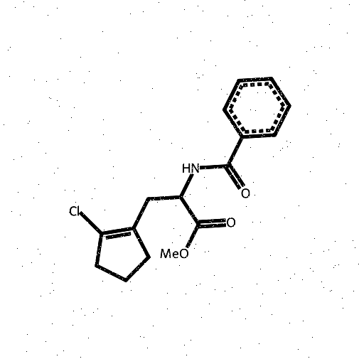 COC(=O)C(CC1=C(Cl)CCC1)NC(=O)c1ccccc1